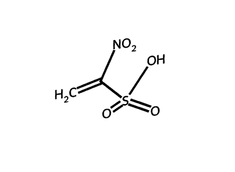 C=C([N+](=O)[O-])S(=O)(=O)O